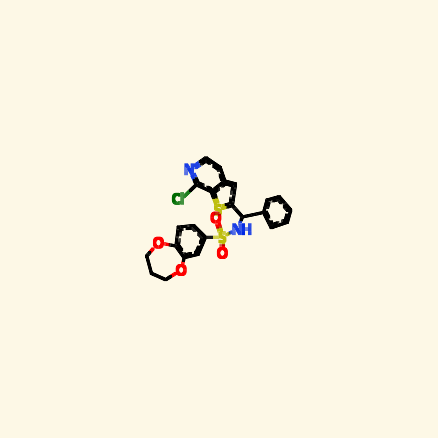 O=S(=O)(NC(c1ccccc1)c1cc2ccnc(Cl)c2s1)c1ccc2c(c1)OCCCO2